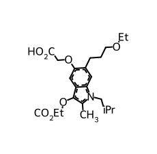 CCOCCCc1cc2c(cc1OCC(=O)O)c(OC(=O)OCC)c(C)n2CC(C)C